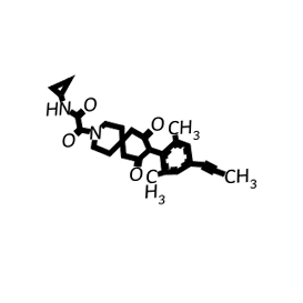 CC#Cc1cc(C)c(C2C(=O)CC3(CCN(C(=O)C(=O)NC4CC4)CC3)CC2=O)c(C)c1